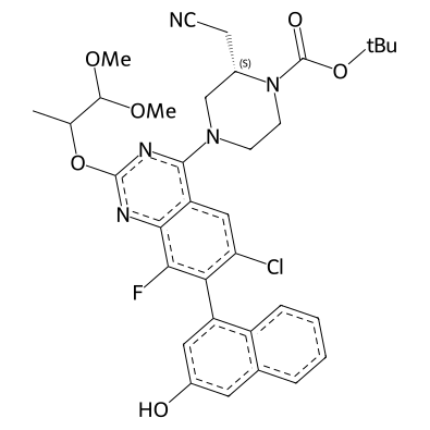 COC(OC)C(C)Oc1nc(N2CCN(C(=O)OC(C)(C)C)[C@@H](CC#N)C2)c2cc(Cl)c(-c3cc(O)cc4ccccc34)c(F)c2n1